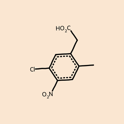 Cc1cc([N+](=O)[O-])c(Cl)cc1CC(=O)O